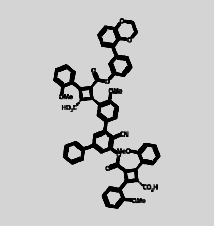 COc1ccccc1C1[C@@H](C(=O)O)[C@H](c2cc(-c3cc(-c4ccccc4)cc(OC(=O)C4C(c5ccccc5OC)[C@@H](C(=O)O)[C@@H]4c4ccccc4OC)c3C#N)ccc2OC)[C@@H]1C(=O)Oc1cccc(-c2cccc3c2OCCO3)c1